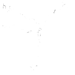 CCCCCC=CC[PH](CC=CCCCCC)(CC=CCCCCC)CC=CCCCCC